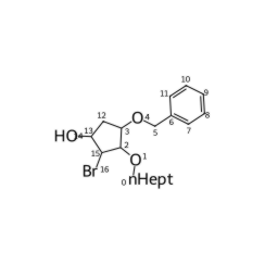 CCCCCCCOC1C(OCc2ccccc2)CC(O)C1Br